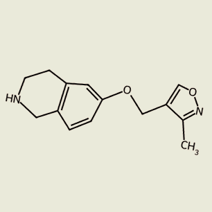 Cc1nocc1COc1ccc2c(c1)CCNC2